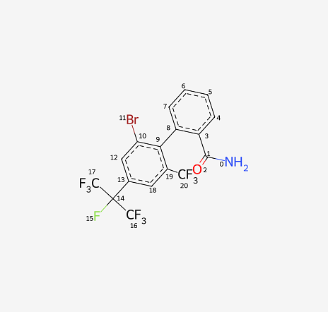 NC(=O)c1ccccc1-c1c(Br)cc(C(F)(C(F)(F)F)C(F)(F)F)cc1C(F)(F)F